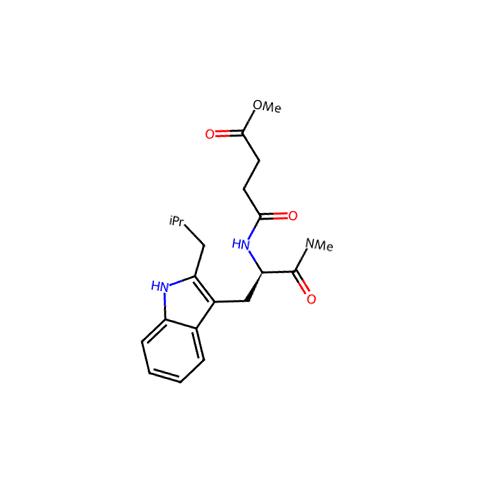 CNC(=O)[C@@H](Cc1c(CC(C)C)[nH]c2ccccc12)NC(=O)CCC(=O)OC